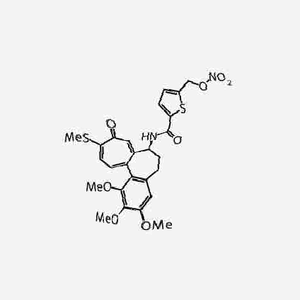 COc1cc2c(c(OC)c1OC)-c1ccc(SC)c(=O)cc1[C@@H](NC(=O)c1ccc(CO[N+](=O)[O-])s1)CC2